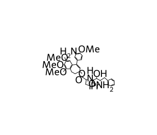 COc1ccc(C2=C[C@@H](OC(=O)C(CC(C)C)NC(=O)C(O)C(N)Cc3ccccc3)CCc3c2cc(OC)c(OC)c3OC)cc1N